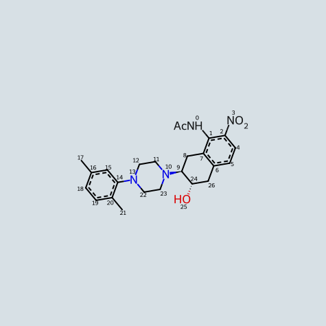 CC(=O)Nc1c([N+](=O)[O-])ccc2c1C[C@H](N1CCN(c3cc(C)ccc3C)CC1)[C@@H](O)C2